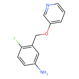 Nc1ccc(F)c(COc2cccnc2)c1